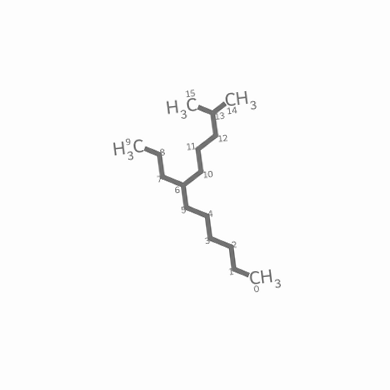 CCCCCCC(CCC)CCCC(C)C